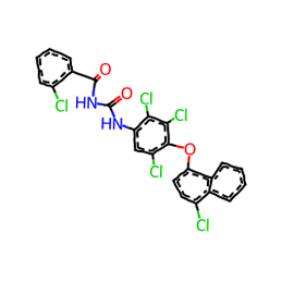 O=C(NC(=O)c1ccccc1Cl)Nc1cc(Cl)c(Oc2ccc(Cl)c3ccccc23)c(Cl)c1Cl